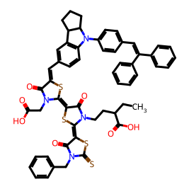 CCC(CCn1c(=O)/c(=c2\s/c(=C\c3ccc4c(c3)C3CCCC3N4c3ccc(C=C(c4ccccc4)c4ccccc4)cc3)c(=O)n2CC(=O)O)s/c1=C1/SC(=S)N(Cc2ccccc2)C1=O)C(=O)O